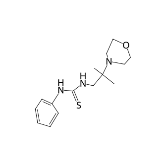 CC(C)(CNC(=S)Nc1ccccc1)N1CCOCC1